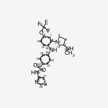 CNC1CCN(c2cc(OC(F)(F)F)ccc2Nc2ccc(S(=O)(=O)Nc3cscn3)cc2)C1